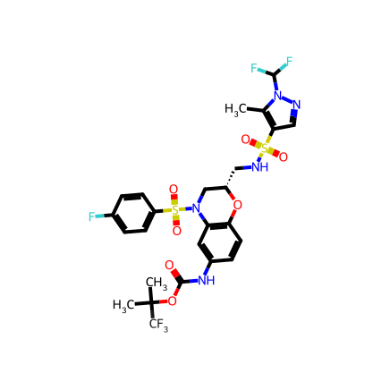 Cc1c(S(=O)(=O)NC[C@H]2CN(S(=O)(=O)c3ccc(F)cc3)c3cc(NC(=O)OC(C)(C)C(F)(F)F)ccc3O2)cnn1C(F)F